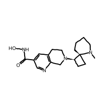 CN1CCCC[C@]12CC[C@H]2N1CCc2cc(C(=O)NO)cnc2C1